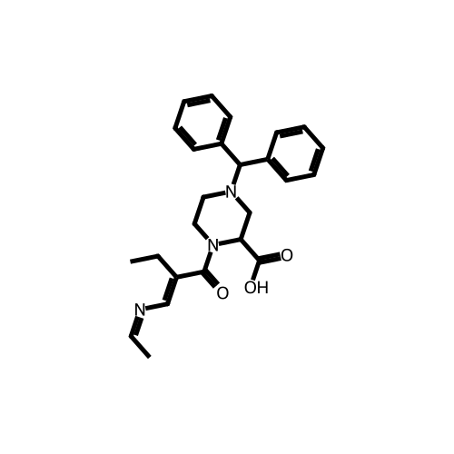 C/C=N\C=C(/CC)C(=O)N1CCN(C(c2ccccc2)c2ccccc2)CC1C(=O)O